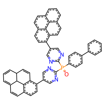 O=P(c1ccc(-c2ccccc2)cc1)(c1ncc(-c2ccc3c4c2C=CC2C=CC=C(C=C3)C42)cn1)c1ncc(-c2ccc3ccc4cccc5ccc2c3c45)cn1